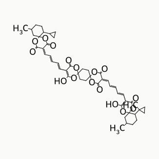 CC1CCC(C2CC2)C2(C1)OC(=O)C(=C/C=C/C=C/C1=C(O)OC3(CCC4(CC3)OC(=O)C(=C/C=C/C=C/C3=C(O)OC5(CC(C)CCC5C5(C)CC5)OC3=O)C(=O)O4)OC1=O)C(=O)O2